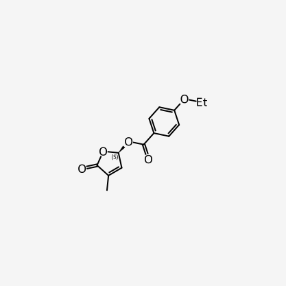 CCOc1ccc(C(=O)O[C@H]2C=C(C)C(=O)O2)cc1